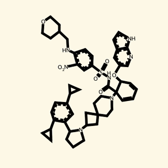 O=C(NS(=O)(=O)c1ccc(NCC2CCOCC2)c([N+](=O)[O-])c1)C1(N2CCC3(CC2)CC(N2CCCC2c2cc(C4CC4)ccc2C2CC2)C3)C=CC=CC1Oc1cnc2[nH]ccc2c1